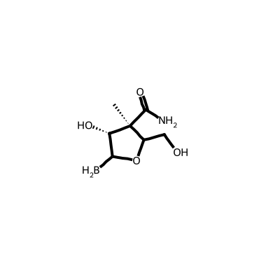 BC1OC(CO)[C@](C)(C(N)=O)[C@H]1O